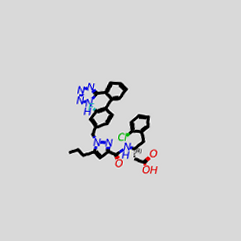 CCCc1cc(C(=O)N[C@@H](CC(=O)O)Cc2ccccc2Cl)nn1Cc1ccc(-c2ccccc2-c2nnn[nH]2)c(F)c1